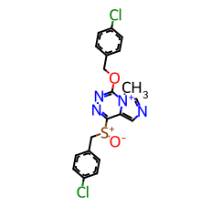 C[N+]12C=NC=C1C([S+]([O-])Cc1ccc(Cl)cc1)=NN=C2OCc1ccc(Cl)cc1